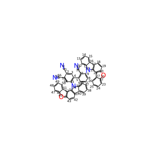 N#Cc1cc(-c2cccc(-n3c4ccccc4c4ccc5oc6ccccc6c5c43)c2C#N)c(-n2c3ccccc3c3ccc4oc5ccccc5c4c32)cc1C#N